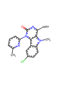 CNc1nc(=O)n(-c2cccc(C)n2)c2c3cc(Cl)ccc3n(C)c12